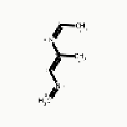 C=N/C=C(C)/N=C\C